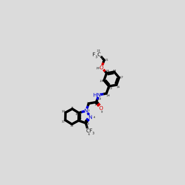 O=C(Cn1nc(C(F)(F)F)c2c1CCCC2)NCc1cccc(OCC(F)(F)F)c1